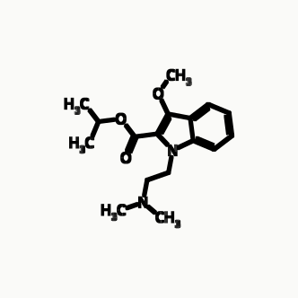 COc1c(C(=O)OC(C)C)n(CCN(C)C)c2ccccc12